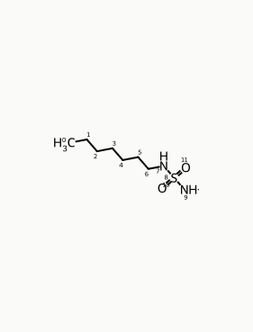 CCCCCCCNS([NH])(=O)=O